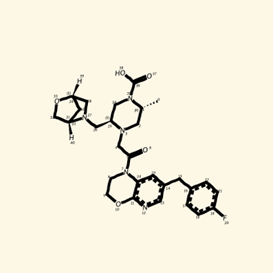 C[C@@H]1CN(CC(=O)N2CCOc3ncc(Cc4ccc(F)cc4)cc32)[C@@H](CN2C[C@@H]3C[C@H]2CO3)CN1C(=O)O